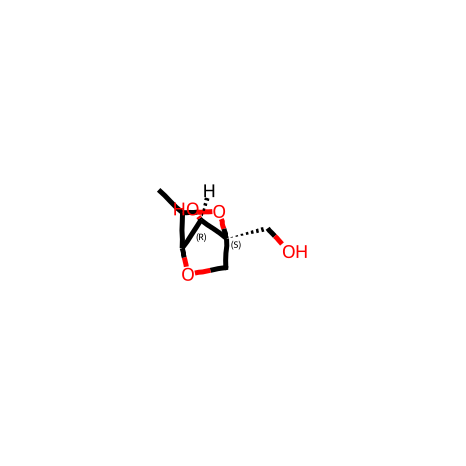 CC1O[C@@]2(CO)COC1[C@H]2O